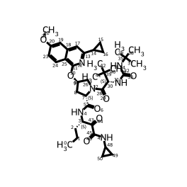 CCC[C@H](NC(=O)[C@@H]1C[C@@H](Oc2nc(C3CC3)cc3cc(OC)ccc23)CN1C(=O)[C@@H](NC(=O)NC(C)(C)C)C(C)(C)C)C(=O)C(=O)NC1CC1